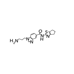 NCCCn1cnc2cc(C(=O)Nc3nc4c(s3)CCC4)ccc21